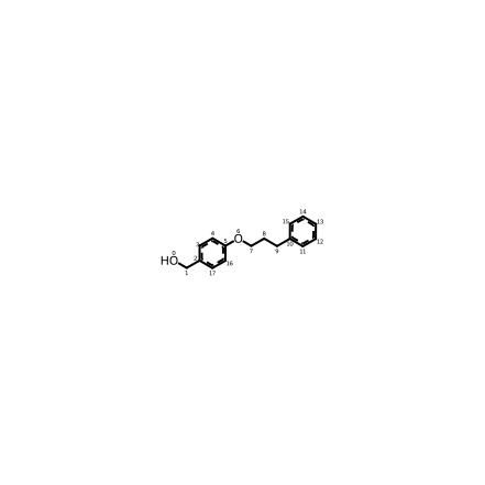 OCc1ccc(OCCCc2ccccc2)cc1